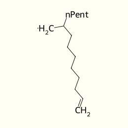 [CH2]C(CCCCC)CCCCCCC=C